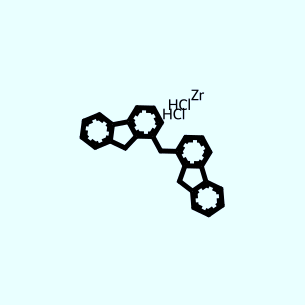 Cl.Cl.[Zr].c1ccc2c(c1)Cc1c(Cc3cccc4c3Cc3ccccc3-4)cccc1-2